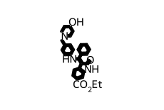 CCOC(=O)c1ccc2c(c1)NC(=O)C2=C(Nc1ccc(CN2CCC(O)CC2)cc1)c1ccccc1